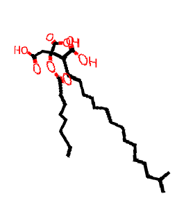 CCCCCCCC(=O)OC(CC(=O)O)(C(=O)O)C(CCCCCCCCCCCCCC(C)C)C(=O)O